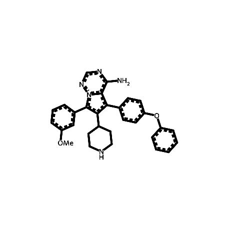 COc1cccc(-c2c(C3CCNCC3)c(-c3ccc(Oc4ccccc4)cc3)c3c(N)ncnn23)c1